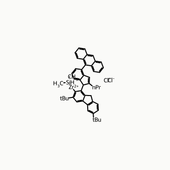 CCCC1=Cc2c(-c3c4ccccc4cc4ccccc34)cccc2C1c1c2c(cc(C(C)(C)C)[c]1[Zr+2][SiH](C)C)-c1cc(C(C)(C)C)ccc1C2.[Cl-].[Cl-]